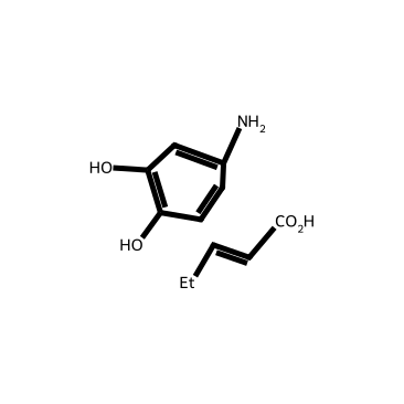 CCC=CC(=O)O.Nc1ccc(O)c(O)c1